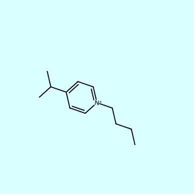 CCCC[n+]1ccc(C(C)C)cc1